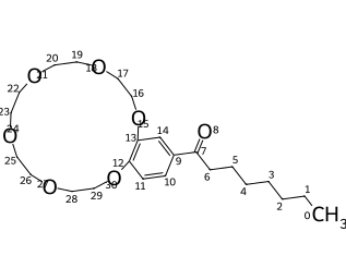 CCCCCCCC(=O)c1ccc2c(c1)OCCOCCOCCOCCOCCO2